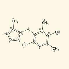 Cc1cc(C)c(Cn2ccnc2C)c(C)c1C#N